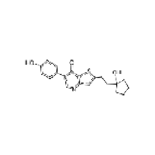 O=c1c2sc(CCC3(O)CCCC3)cc2ncn1-c1ccc(O)cc1